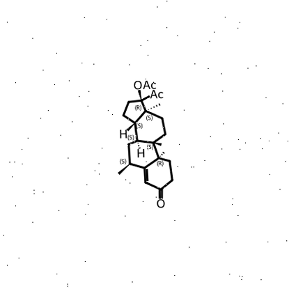 CC(=O)O[C@]1(C(C)=O)CC[C@H]2[C@@H]3C[C@H](C)C4=CC(=O)CC[C@]4(C)[C@@]3(C)CC[C@@]21C